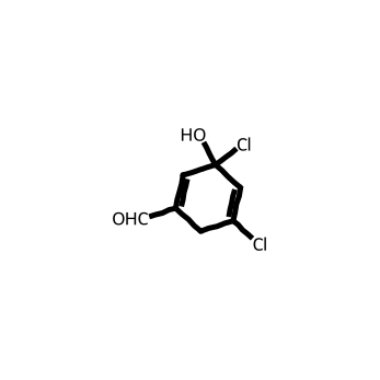 O=CC1=CC(O)(Cl)C=C(Cl)C1